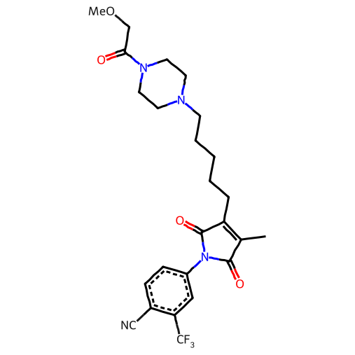 COCC(=O)N1CCN(CCCCCC2=C(C)C(=O)N(c3ccc(C#N)c(C(F)(F)F)c3)C2=O)CC1